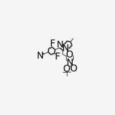 Cc1ccn2c(CC3CN(C(=O)OC(C)(C)C)CCO3)c(-c3c(F)cc(C#N)cc3F)nc2c1